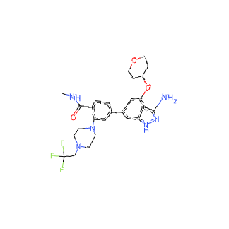 CNC(=O)c1ccc(-c2cc(OC3CCOCC3)c3c(N)n[nH]c3c2)cc1N1CCN(CC(F)(F)F)CC1